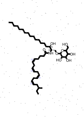 CCCCCCCCCCCCCCC[C@@H](O)[C@H](COC1OC(CO)C(O)C(O)C1O)NC(=O)CCC/C=C\C/C=C\C/C=C\C/C=C\CC(C)CC